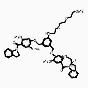 CNc1cc(OCc2cc(COc3cc4c(cc3OC)C(=O)N3c5ccccc5C[C@H]3CN4)cc(NCCOCCOCCOC)c2)c(OC)cc1C(=O)N1CCc2ccccc21